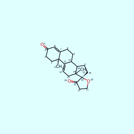 CC12CCC(=O)C=C1CCC1C2=CCC2(C)C1CC[C@]21OCCC1=O